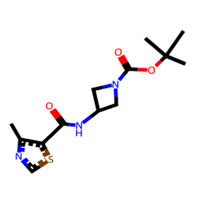 Cc1ncsc1C(=O)NC1CN(C(=O)OC(C)(C)C)C1